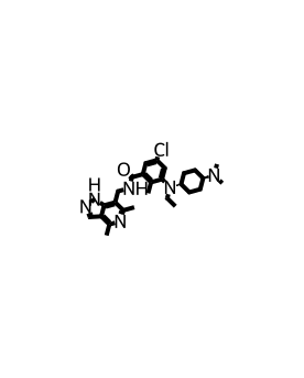 CCN(c1cc(Cl)cc(C(=O)NCc2c(C)nc(C)c3cn[nH]c23)c1C)[C@H]1CC[C@H](N(C)C)CC1